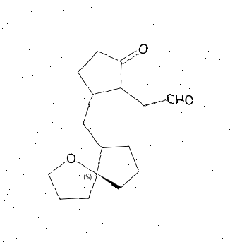 O=CCC1C(=O)CCC1CC1CCC[C@]12CCCO2